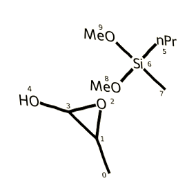 CC1OC1O.CCC[Si](C)(OC)OC